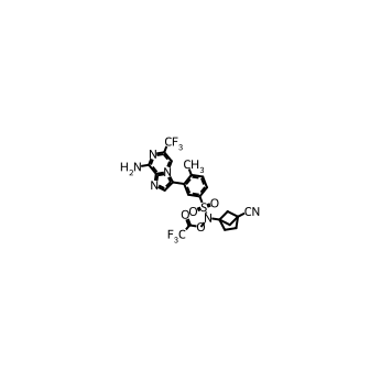 Cc1ccc(S(=O)(=O)N(OC(=O)C(F)(F)F)C23CCC(C#N)(C2)C3)cc1-c1cnc2c(N)nc(C(F)(F)F)cn12